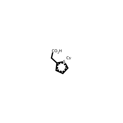 O=C(O)Cc1cccs1.[Cs]